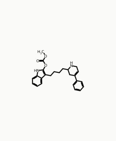 COC(=O)Oc1[nH]c2ccccc2c1CCCCC1CC(c2ccccc2)=CCN1